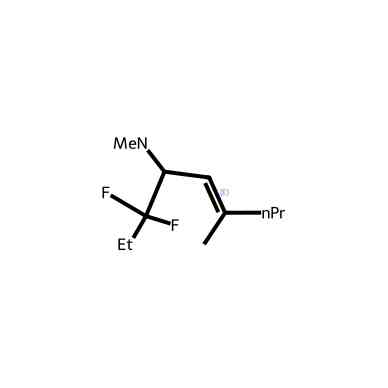 CCC/C(C)=C/C(NC)C(F)(F)CC